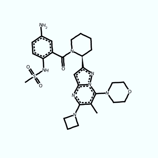 Cc1c(N2CCC2)nc2cc([C@@H]3CCCCN3C(=O)c3cc(N)ccc3NS(C)(=O)=O)nn2c1N1CCOCC1